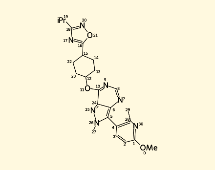 COc1ccc(-c2c3ncnc(OC4CCC(c5nc(C(C)C)no5)CC4)c3nn2C)c(C)n1